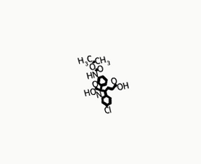 CC(C)OC(=O)Nc1cccc(C2(C(=O)O)N=c3cc(Cl)ccc3=C2C=CC(=O)O)c1